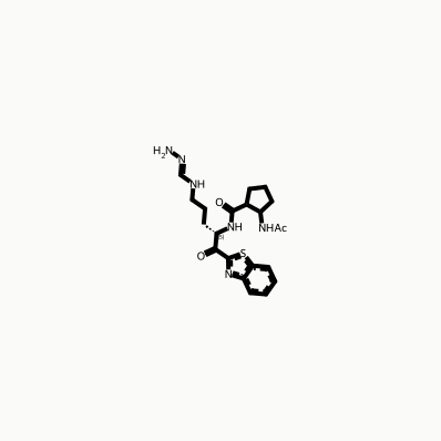 CC(=O)NC1CCCC1C(=O)N[C@@H](CCCNC=NN)C(=O)c1nc2ccccc2s1